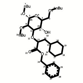 CCCCOCC1O[C@@H](OCCCC)C(OCCCC)C(OC(CC2CCCCC2)C(=O)OCc2ccccc2)[C@H]1O